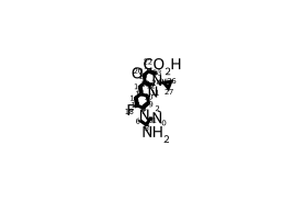 CN(C)C1C(N)CN1c1cc2nc3c(cc2cc1F)c(=O)c(C(=O)O)cn3C1CC1